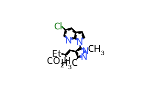 CCC(=Cc1c(C)nn(C)c1-n1ccc2cc(Cl)cnc21)C(=O)O